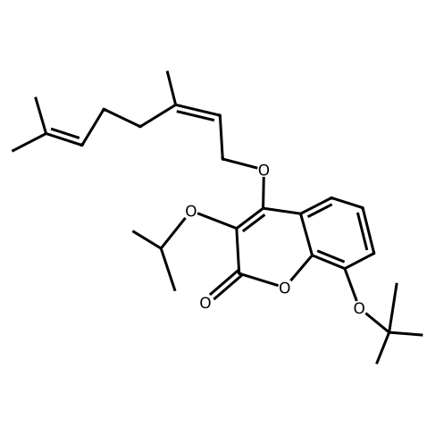 CC(C)=CCCC(C)=CCOc1c(OC(C)C)c(=O)oc2c(OC(C)(C)C)cccc12